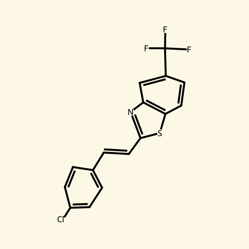 FC(F)(F)c1ccc2sc(C=Cc3ccc(Cl)cc3)nc2c1